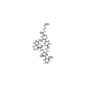 O=C(CCCCO)N1CCC(c2ccc(OCCCOCc3ccccc3O)cc2)C(OCc2ccc3c(c2)N(C(=O)CCCCO)CCC3)C1